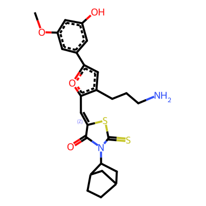 COc1cc(O)cc(-c2cc(CCCN)c(/C=C3\SC(=S)N(C4CC5CCC4C5)C3=O)o2)c1